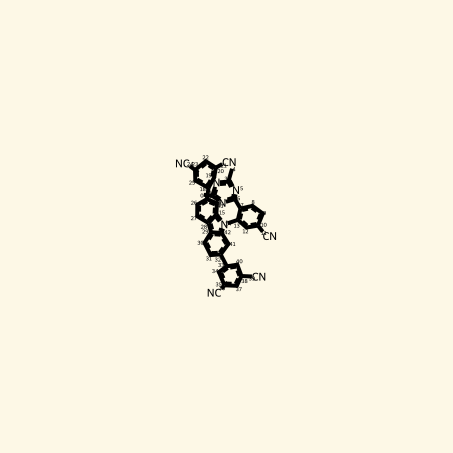 Cc1nc(C)nc(-c2ccc(C#N)cc2-n2c3cc(-c4cc(C#N)cc(C#N)c4)ccc3c3ccc(-c4cc(C#N)cc(C#N)c4)cc32)n1